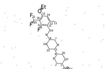 CCCCC1CCC(C2CCC(CCc3c(C)cc(OCC)c(C(F)F)c3F)CC2)CC1